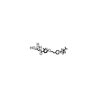 Cc1nc(OCCCC2CCN(c3nc(C(C)C)no3)CC2)ccc1C(=O)NCC(O)CO